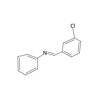 Clc1cccc(/C=N/c2ccccc2)c1